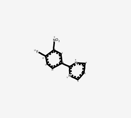 O=[N+]([O-])c1cc(-c2ncccn2)ccc1F